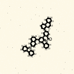 O=c1c2ccc(-c3cccc4c3ccc3ccccc34)cc2c2cc(-c3cccc4cc(-n5c6ccccc6c6ccccc65)ccc34)cc3c4ccccc4n1c23